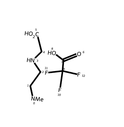 CNCCNCC(=O)O.O=C(O)C(F)(F)F